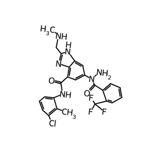 CNCc1nc2c(C(=O)Nc3cccc(Cl)c3C)cc(N(N)C(=O)c3ccccc3C(F)(F)F)cc2[nH]1